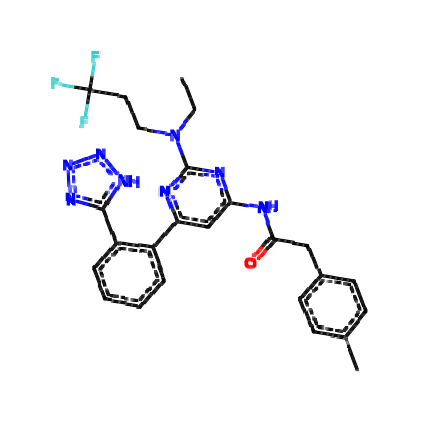 CCN(CCC(F)(F)F)c1nc(NC(=O)Cc2ccc(C)cc2)cc(-c2ccccc2-c2nnn[nH]2)n1